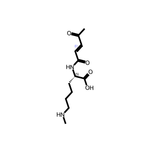 CNCCCC[C@H](NC(=O)/C=C/C(C)=O)C(=O)O